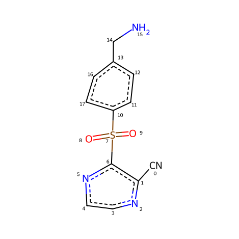 N#Cc1nccnc1S(=O)(=O)c1ccc(CN)cc1